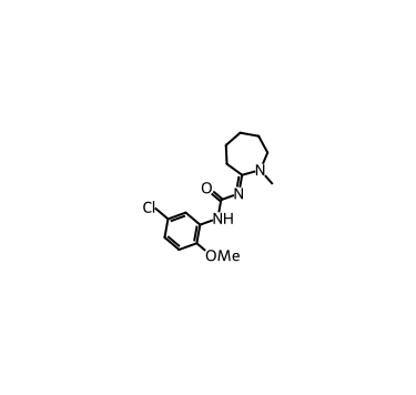 COc1ccc(Cl)cc1NC(=O)N=C1CCCCCN1C